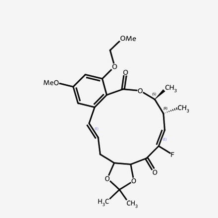 COCOc1cc(OC)cc2c1C(=O)O[C@@H](C)[C@H](C)/C=C(/F)C(=O)C1OC(C)(C)OC1C/C=C/2